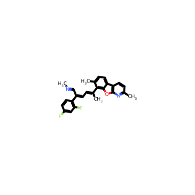 C/N=C/C(=C\C=C(/C)c1c(C)ccc2c1oc1nc(C)ccc12)c1ccc(F)cc1F